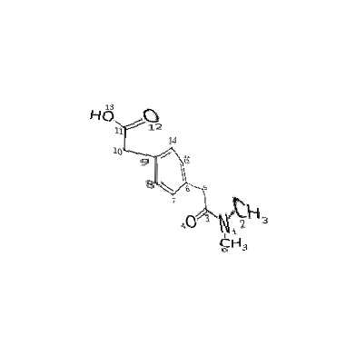 CN(C)C(=O)Cc1ccc(CC(=O)O)cc1